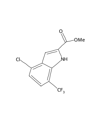 COC(=O)c1cc2c(Cl)ccc(C(F)(F)F)c2[nH]1